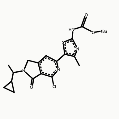 Cc1nc(NC(=O)OC(C)(C)C)sc1-c1cc2c(c(Cl)n1)C(=O)N(C(C)C1CC1)C2